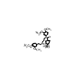 COc1ccc(CCN(C)CCCN(C(=O)c2ccc(N)cc2)c2ccc(OC)c(OC)c2)cc1OC.Cl.Cl